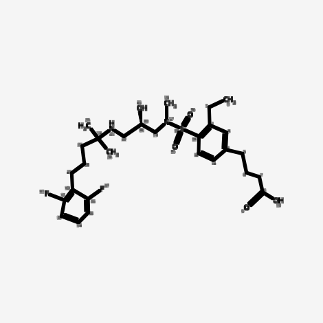 CCc1cc(CCCC(=O)O)ccc1S(=O)(=O)N(C)C[C@H](O)CNC(C)(C)CCCc1c(F)cccc1F